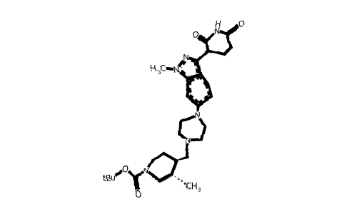 C[C@@H]1CN(C(=O)OC(C)(C)C)CC[C@H]1CN1CCN(c2ccc3c(C4CCC(=O)NC4=O)nn(C)c3c2)CC1